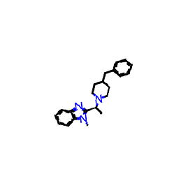 CC(c1nc2ccccc2n1C)N1CCC(Cc2ccccc2)CC1